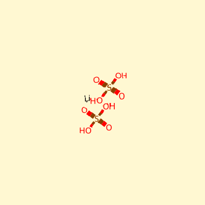 O=S(=O)(O)O.O=S(=O)(O)O.[Li]